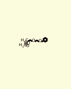 C[C@@H](CCOCCCOCc1ccccc1)OS(C)(=O)=O